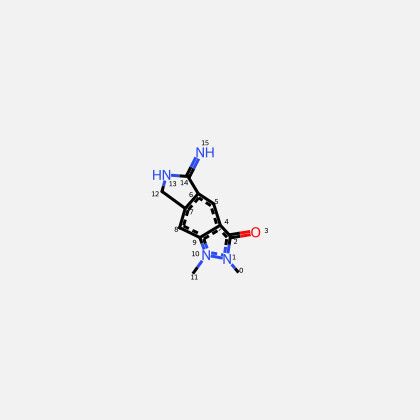 Cn1c(=O)c2cc3c(cc2n1C)CNC3=N